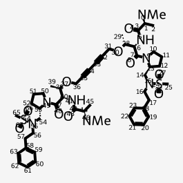 CN[C@@H](C)C(=O)N[C@H](C(=O)N1CCC[C@H]1CN(CCc1ccccc1)S(C)(=O)=O)[C@@H](C)OCC#CC#CCO[C@H](C)[C@H](NC(=O)[C@H](C)NC)C(=O)N1CCC[C@H]1CN(CCc1ccccc1)S(C)(=O)=O